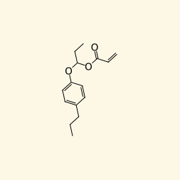 C=CC(=O)OC(CC)Oc1ccc(CCC)cc1